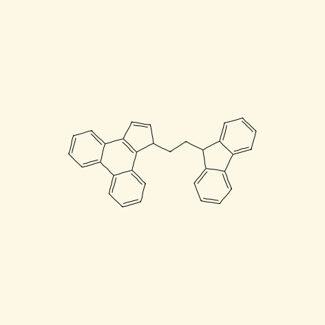 C1=CC(CCC2c3ccccc3-c3ccccc32)c2c1c1ccccc1c1ccccc21